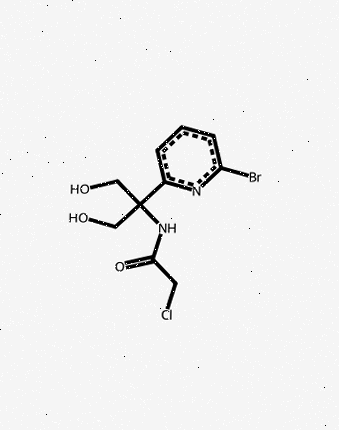 O=C(CCl)NC(CO)(CO)c1cccc(Br)n1